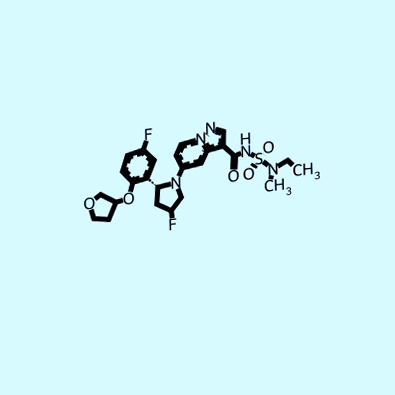 CCN(C)S(=O)(=O)NC(=O)c1cnn2ccc(N3CC(F)C[C@@H]3c3cc(F)ccc3OC3CCOC3)cc12